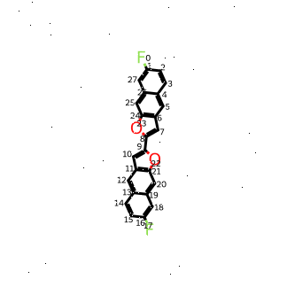 Fc1ccc2cc3cc(-c4cc5cc6ccc(F)cc6cc5o4)oc3cc2c1